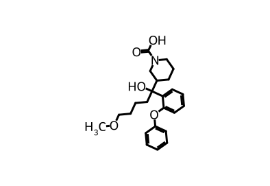 COCCCCC(O)(c1ccccc1Oc1ccccc1)C1CCCN(C(=O)O)C1